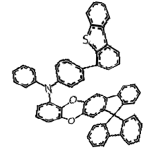 c1ccc(N(c2ccc(-c3cccc4c3sc3ccccc34)cc2)c2cccc3c2Oc2cc4c(cc2O3)C2(c3ccccc3-c3ccccc32)c2ccccc2-4)cc1